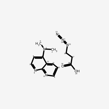 CN(C)c1ccnc2ncccc12.[N-]=[N+]=NCCC(=O)O